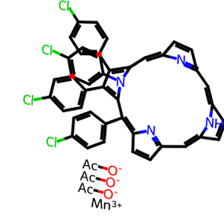 CC(=O)[O-].CC(=O)[O-].CC(=O)[O-].Clc1ccc(-c2c(-c3ccc(Cl)cc3)c3c(-c4ccc(Cl)cc4)c4nc(cc5ccc(cc6nc(cc2n3-c2ccc(Cl)cc2)C=C6)[nH]5)C=C4)cc1.[Mn+3]